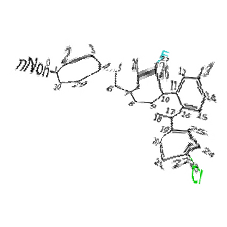 CCCCCCCCC[C@H]1CC[C@H](CCC2CCC(c3ccccc3C(C)c3ccc(Cl)cc3)C(F)C2)CC1